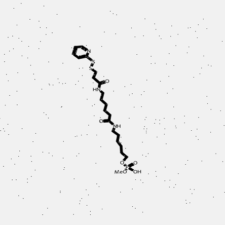 COP(=O)(O)OCCCCCCNC(=O)CCCCCNC(=O)CCSSc1ccccn1